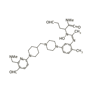 CNCc1nc(N2CCC(CN3CCN(c4ccc(C)c(/N=C(/C)N(O)C(CCC=O)C(=C=O)NC)c4)CC3)CC2)ccc1C=O